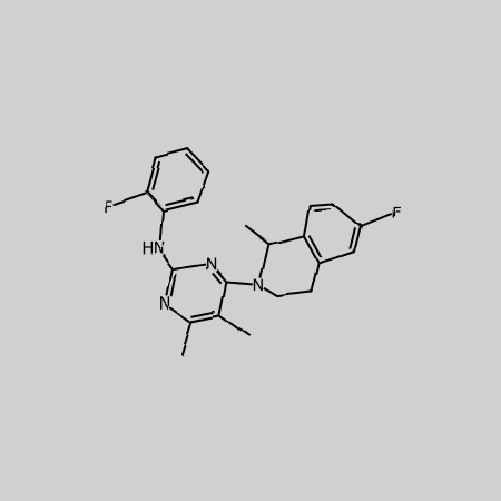 Cc1nc(Nc2ccccc2F)nc(N2CCc3cc(F)ccc3C2C)c1C